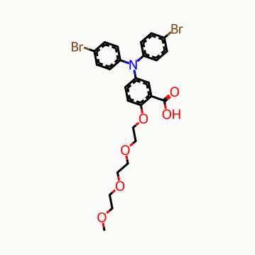 COCCOCCOCCOc1ccc(N(c2ccc(Br)cc2)c2ccc(Br)cc2)cc1C(=O)O